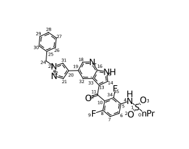 CCCS(=O)(=O)Nc1ccc(F)c(C(=O)c2c[nH]c3ncc(-c4cnn(Cc5ccccc5)c4)cc23)c1F